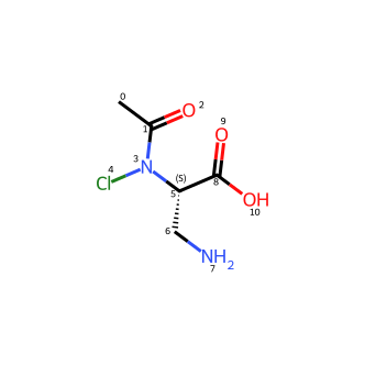 CC(=O)N(Cl)[C@@H](CN)C(=O)O